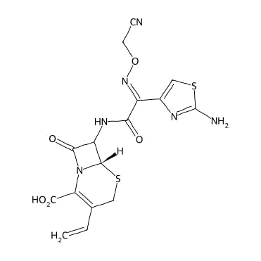 C=CC1=C(C(=O)O)N2C(=O)C(NC(=O)C(=NOCC#N)c3csc(N)n3)[C@@H]2SC1